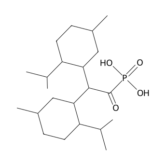 CC1CCC(C(C)C)C(C(C(=O)P(=O)(O)O)C2CC(C)CCC2C(C)C)C1